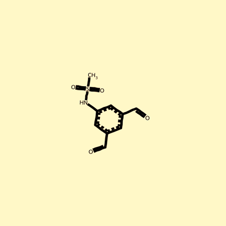 CS(=O)(=O)Nc1cc(C=O)cc(C=O)c1